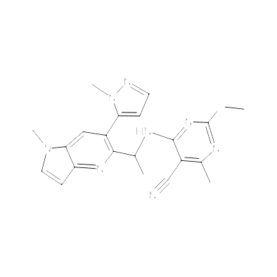 CSc1nc(C)c(C#N)c(NC(C)c2nc3ccn(C)c3cc2-c2ccnn2C)n1